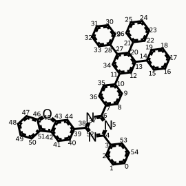 c1ccc(-c2nc(-c3ccc(-c4cc(-c5ccccc5)c(-c5ccccc5)c(-c5ccccc5)c4)cc3)nc(-c3ccc4c(c3)oc3ccccc34)n2)cc1